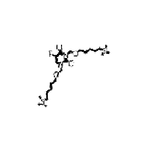 C[Si](C)(C)CCCCCOCn1cc(F)c(=O)n(COCCCCC[Si](C)(C)C)c1=O